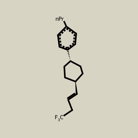 CCCc1ccc([C@H]2CC[C@H](/C=C/CC(F)(F)F)CC2)cc1